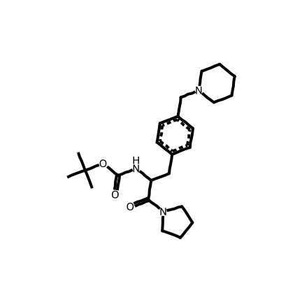 CC(C)(C)OC(=O)NC(Cc1ccc(CN2CCCCC2)cc1)C(=O)N1CCCC1